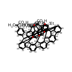 CC[C@]12C3=C4C5=C1[C@@]1(c6ccc(C(C)C(=O)O)cc6)c6c7ccc8c6[C@]5(c5ccc(C(C)C(=O)O)cc5)c5c-8ccc6c5[C@]4(c4ccc(C(C)C(=O)O)cc4)c4c-6ccc5c4[C@]3(c3ccc(C(C)C(=O)O)cc3)c3c-5ccc4c3[C@]2(c2ccc(C(C)C(=O)O)cc2)c2c-4ccc-7c21